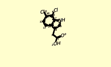 O=C(O)Cc1c[nH]c2c(Cl)c(Cl)ccc12